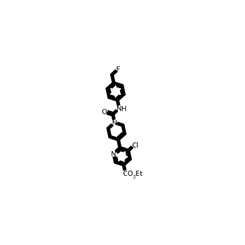 CCOC(=O)c1cnc(C2=CCN(C(=O)Nc3ccc(CF)cc3)CC2)c(Cl)c1